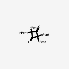 CCCCCC1(CCCCC)C(=O)C(CCCCC)(CCCCC)C1=O